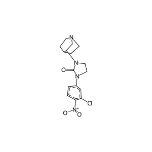 O=C1N(c2ccc([N+](=O)[O-])c(Cl)c2)CCN1C1CN2CCC1CC2